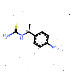 C[C@H](NC(N)=S)c1ccc(N)cc1